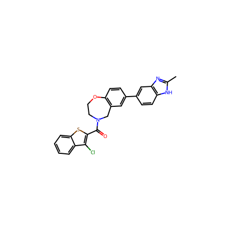 Cc1nc2cc(-c3ccc4c(c3)CN(C(=O)c3sc5ccccc5c3Cl)CCO4)ccc2[nH]1